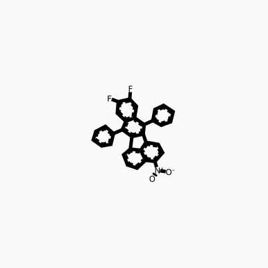 O=[N+]([O-])c1ccc2c3c(cccc13)-c1c-2c(-c2ccccc2)c2cc(F)c(F)cc2c1-c1ccccc1